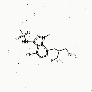 C[C@H](F)C(CN)Cc1ccc(Cl)c2c(NS(C)(=O)=O)nn(C)c12